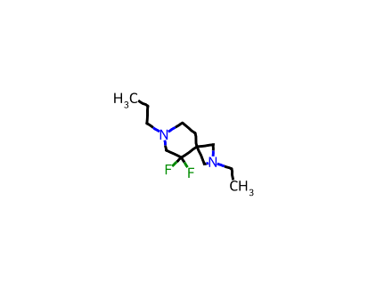 CCCN1CCC2(CN(CC)C2)C(F)(F)C1